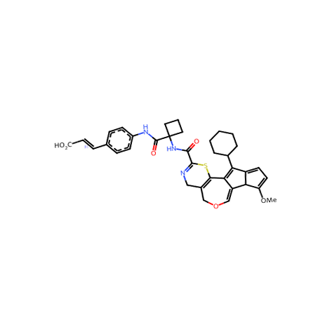 COC1=CC=C2C(C3CCCCC3)=C3C(=COCC4=C3SC(C(=O)NC3(C(=O)Nc5ccc(/C=C/C(=O)O)cc5)CCC3)=NC4)C12